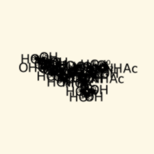 CC(=O)NC1[C@H](O[C@@H]2C(CO)O[C@@H](C)C(NC(C)=O)[C@H]2O)OC(CO)[C@@H](O[C@@H]2OC(CO[C@H]3OC(CO)[C@@H](O)[C@H](O)C3O)[C@@H](O)[C@H](O[C@H]3OC(CO)[C@@H](O)C(O)C3O[C@@H]3OC(CO)[C@H](O[C@@H]4OC(CO)[C@H](O)[C@H](O[C@]5(OC=O)C[C@@H](O)[C@@H](C)C(C(O)C(O)CO)O5)C4O)[C@H](O)C3NC(C)=O)C2O)[C@@H]1O